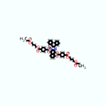 C=CC(=O)OCCCCOC(=O)C1CCC(C(=O)Oc2c3ccccc3c(OC(=O)C3CCC(C(=O)OCCCCOC(=O)C=C)CC3)c3nc(-c4ccccc4)c(-c4ccccc4)nc23)CC1